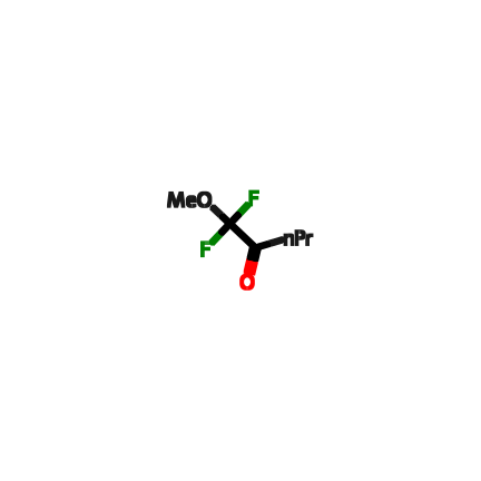 CCCC(=O)C(F)(F)OC